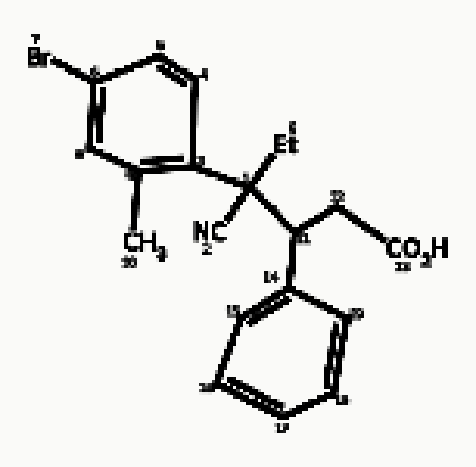 CCC(C#N)(c1ccc(Br)cc1C)C(CC(=O)O)c1ccccc1